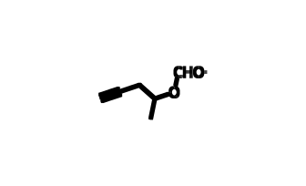 C#CCC(C)O[C]=O